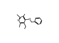 CCc1c(C)nc(C)c(C)c1OCc1ccccc1